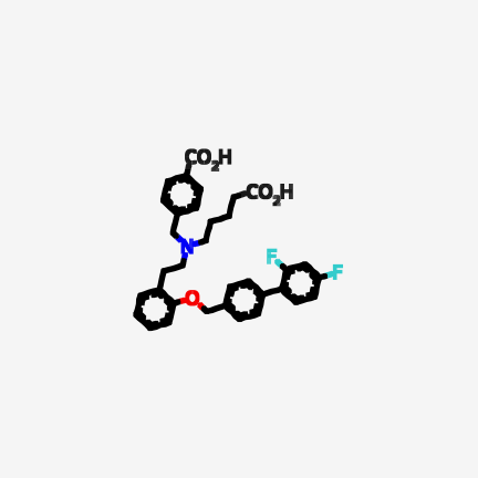 O=C(O)CCCCN(CCc1ccccc1OCc1ccc(-c2ccc(F)cc2F)cc1)Cc1ccc(C(=O)O)cc1